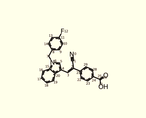 N#C/C(=C\c1cn(Cc2ccc(F)cc2)c2ccccc12)c1ccc(C(=O)O)cc1